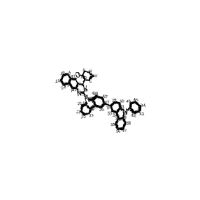 C1=CC2=C(CC1)Oc1c3ccccc3cc3nc(-n4c5ccccc5c5cc(-c6ccc7c(c6)c6ccccc6n7-c6ccccc6)ccc54)nc2c13